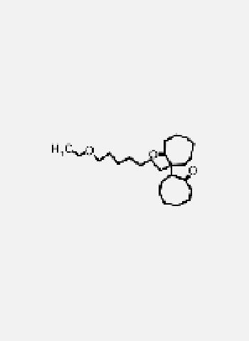 CCOCCCCCCCC1(C2CCCCCCC2=O)CCCCCCC1=O